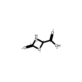 O=C1NC(C(=O)O)O1